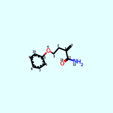 C=C(CCOc1ccccc1)C(N)=O